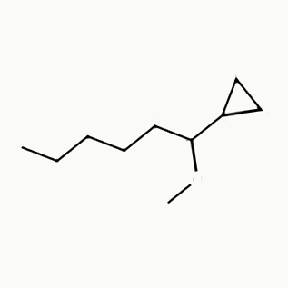 [CH2]CCCCC(OC)C1CC1